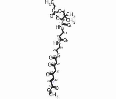 CCOP1(=O)OCC(C)(C)[C@H](C(=O)NCCC(=O)NCCSC(=O)CC(=O)CC(=O)/C=C/C(=O)OC)O1